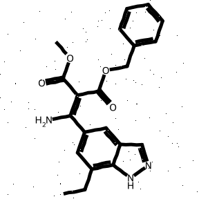 CCc1cc(C(N)=C(C(=O)OC)C(=O)OCc2ccccc2)cc2cn[nH]c12